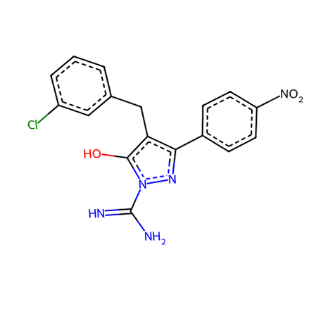 N=C(N)n1nc(-c2ccc([N+](=O)[O-])cc2)c(Cc2cccc(Cl)c2)c1O